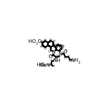 CN[C@@H](C)CN[C@H]1CN(C(=O)CCCN)c2ccccc2N(Cc2c(OC)ccc3cc(C(=O)O)ccc23)C1=O.Cl